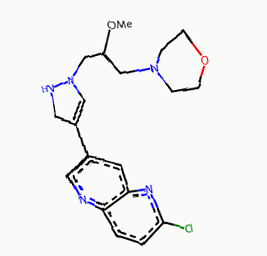 COC(CN1CCOCC1)CN1C=C(c2cnc3ccc(Cl)nc3c2)CN1